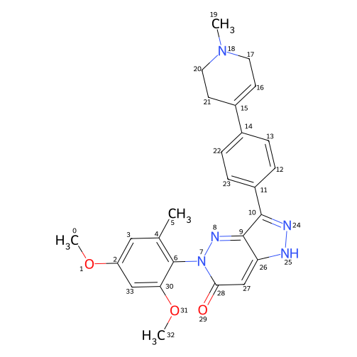 COc1cc(C)c(-n2nc3c(-c4ccc(C5=CCN(C)CC5)cc4)n[nH]c3cc2=O)c(OC)c1